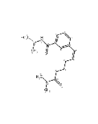 C[C@@H](NC(=O)c1cccc(/C=C\CCCC(=O)N(C)C)c1)C(=O)O